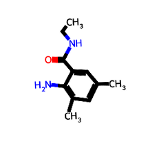 CCNC(=O)c1cc(C)cc(C)c1N